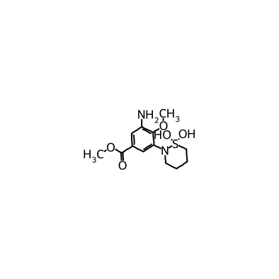 COC(=O)c1cc(N)c(OC)c(N2CCCCS2(O)O)c1